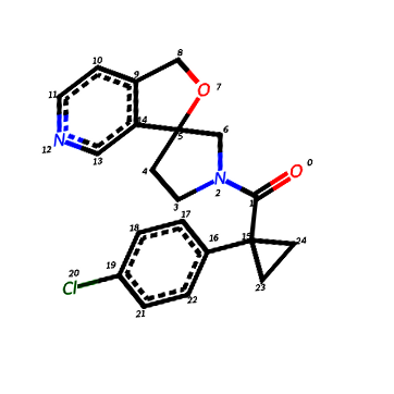 O=C(N1CCC2(C1)OCc1ccncc12)C1(c2ccc(Cl)cc2)CC1